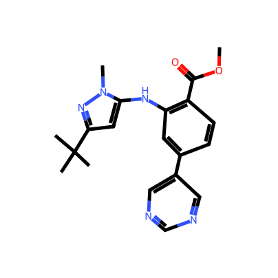 COC(=O)c1ccc(-c2cncnc2)cc1Nc1cc(C(C)(C)C)nn1C